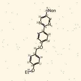 CCCCCCCCCc1cnc(-c2ccc(OCc3ccc(OCC)cc3)cc2)nc1